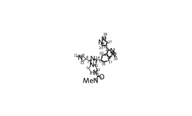 CNC(=O)N1CCn2c(C3CN(C)C3)nc(-c3ccc4c(c3)c(-c3cnn(C)c3)nn4C)c2C1